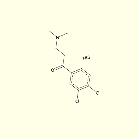 CN(C)CCC(=O)c1ccc(Cl)c(Cl)c1.Cl